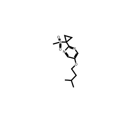 CC(C)CCOc1cnc(C2(S(C)(=O)=O)CC2)nc1